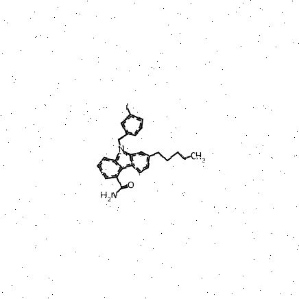 CCCCCc1c[c]c2c3c(C(N)=O)cccc3n(Cc3cccc(I)c3)c2c1